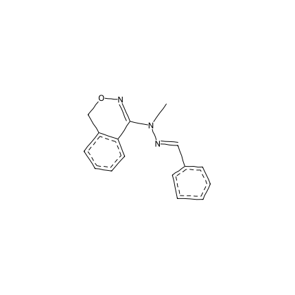 CN(N=Cc1ccccc1)C1=NOCc2ccccc21